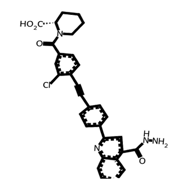 NNC(=O)c1cc(-c2ccc(C#Cc3ccc(C(=O)N4CCCC[C@H]4C(=O)O)cc3Cl)cc2)nc2ccncc12